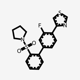 O=S(=O)(c1ccccc1-c1ccc(-c2cscn2)c(F)c1)N1CCCC1